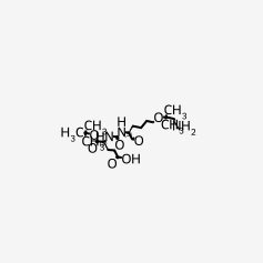 CC(C)(C)OC(=O)[C@H](CCC(=O)O)NC(=O)N[C@H](C=O)CCCCOC(C)(C)CN